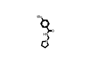 CC(C)(C)c1ccc(C(=O)NCN2CCCC2)cc1